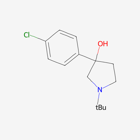 CC(C)(C)N1CCC(O)(c2ccc(Cl)cc2)C1